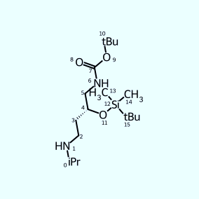 CC(C)NCC[C@H](CNC(=O)OC(C)(C)C)O[Si](C)(C)C(C)(C)C